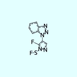 FSn1ncc(-n2nnc3ccccc32)c1F